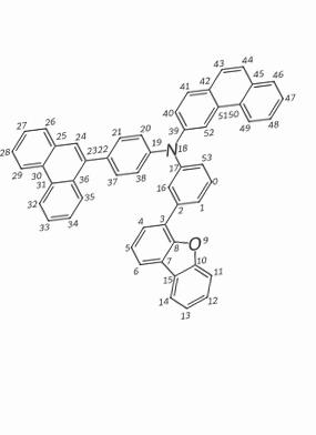 c1cc(-c2cccc3c2oc2ccccc23)cc(N(c2ccc(-c3cc4ccccc4c4ccccc34)cc2)c2ccc3ccc4ccccc4c3c2)c1